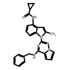 Cc1cc2c(NC(=O)C3CC3)cccc2n1-c1nc(NCc2ccccc2)c2cccn2n1